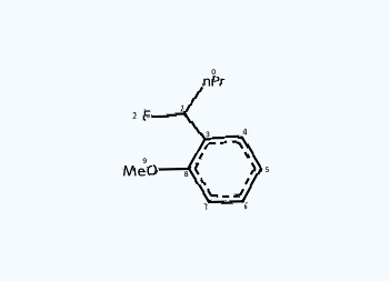 CCCC(F)c1ccccc1OC